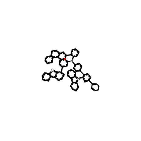 C1=CC(c2ccc(-c3ccc(N(c4cccc(-c5cccc6c5oc5ccccc56)c4)c4ccccc4-c4ccc5c(ccc6ccccc65)c4)cc3)c(-n3c4ccccc4c4ccccc43)c2)=CCC1